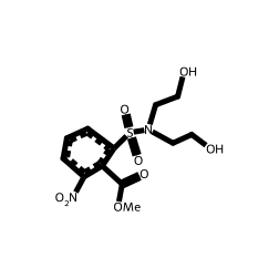 COC(=O)c1c([N+](=O)[O-])cccc1S(=O)(=O)N(CCO)CCO